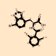 O=C(N[C@@H](Cc1ccc(Br)c2nsnc12)C(=O)O)c1c(F)cccc1F